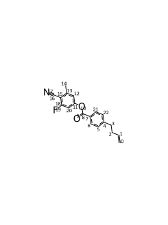 C=CCCc1ccc(C(=O)Oc2cc(C)c(C#N)c(F)c2)cc1